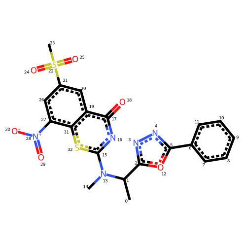 CC(c1nnc(-c2ccccc2)o1)N(C)c1nc(=O)c2cc(S(C)(=O)=O)cc([N+](=O)[O-])c2s1